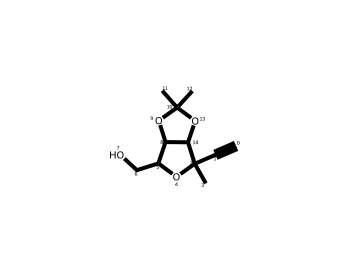 C#CC1(C)OC(CO)C2OC(C)(C)OC21